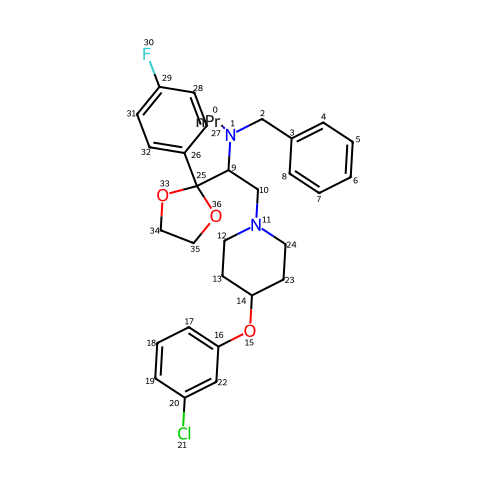 CCCN(Cc1ccccc1)C(CN1CCC(Oc2cccc(Cl)c2)CC1)C1(c2ccc(F)cc2)OCCO1